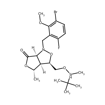 COc1c(Br)ccc(F)c1CN1O[C@@H](CO[SiH](C)C(C)(C)C)[C@H]2[C@H](C)OC(=O)[C@H]21